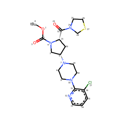 CC(C)(C)OC(=O)N1C[C@@H](N2CCN(c3ncccc3Cl)CC2)C[C@H]1C(=O)N1CCSC1